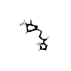 Cc1cc(CCC(=O)c2ccc[nH]2)ccc1O